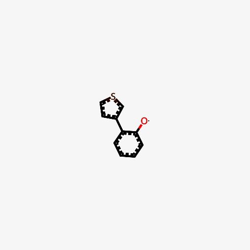 [O]c1ccccc1-c1ccsc1